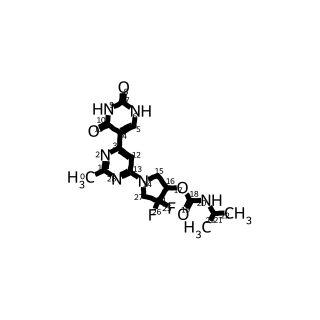 Cc1nc(-c2c[nH]c(=O)[nH]c2=O)cc(N2CC(OC(=O)NC(C)C)C(F)(F)C2)n1